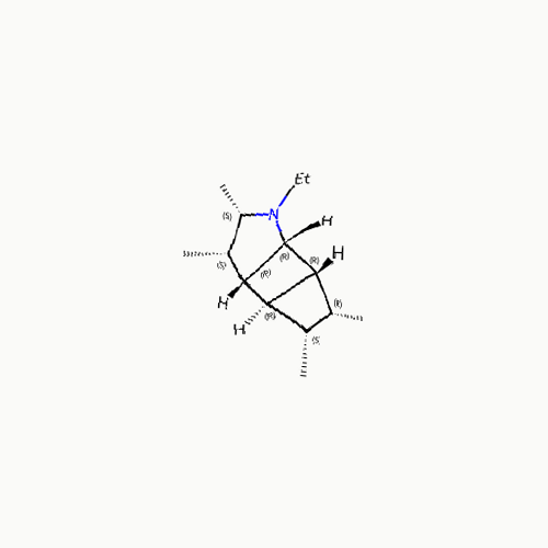 CCN1[C@@H]2[C@@H]3[C@H](C)[C@H](C)[C@H]3[C@@H]2[C@H](C)[C@@H]1C